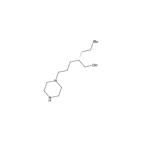 CC(C)(C)CC[C@H](CO)CCCN1CCNCC1